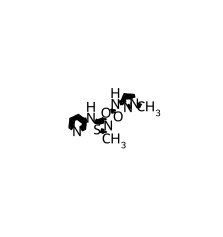 Cc1nc(OC(=O)Nc2ccn(C)n2)c(Nc2cccnc2)s1